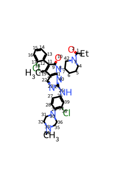 CCC(=O)N1CCC[C@H](n2c(=O)c(-c3ccccc3Cl)c(C)c3cnc(Nc4ccc(N5CCN(C)CC5)c(Cl)c4)nc32)C1